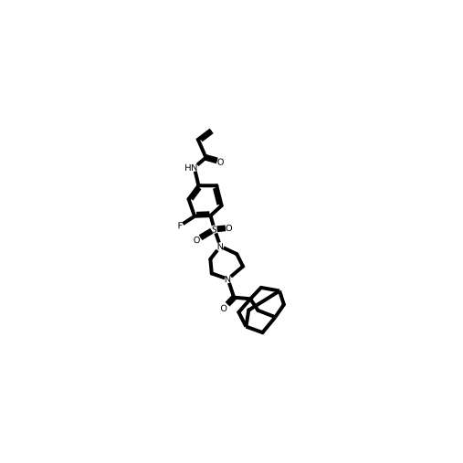 C=CC(=O)Nc1ccc(S(=O)(=O)N2CCN(C(=O)C34CC5CC(CC(C5)C3)C4)CC2)c(F)c1